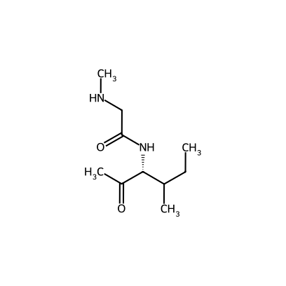 CCC(C)[C@@H](NC(=O)CNC)C(C)=O